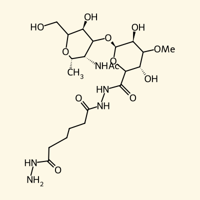 COC1[C@H](O)C(C(=O)NNC(=O)CCCCC(=O)NN)O[C@@H](OC2[C@H](O)C(CO)O[C@@H](C)[C@H]2NC(C)=O)[C@H]1O